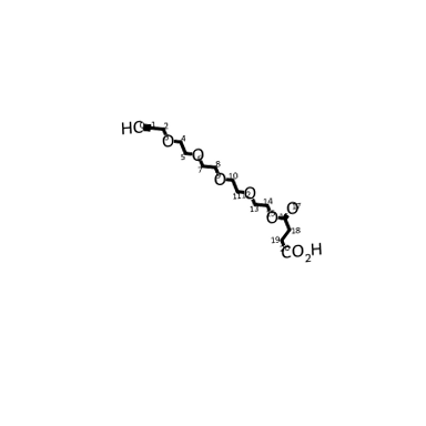 C#CCOCCOCCOCCOCCOC(=O)CCC(=O)O